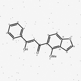 COc1c(C(=O)/C=C(\O)c2ccccc2)ccc2occc12